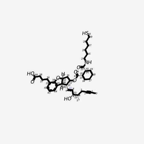 CC#CC[C@H](C)[C@H](O)/C=C/[C@H]1C(OC(=O)[C@H]2CCCC[C@H]2C(=O)NCCCCCCS)C[C@@H]2Oc3c(CCCC(=O)O)cccc3[C@@H]21